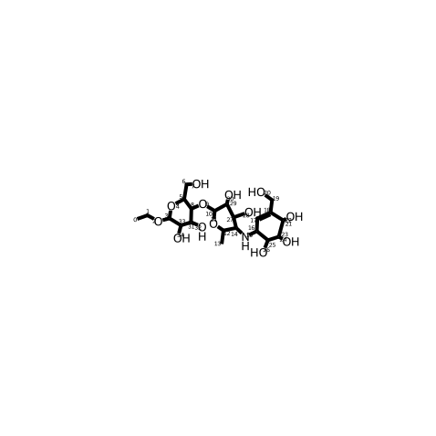 CCOC1OC(CO)C(OC2OC(C)C(NC3C=C(CO)C(O)C(O)C3O)C(O)C2O)C(O)C1O